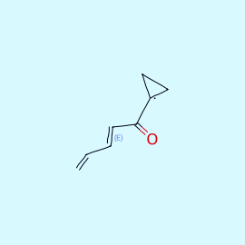 C=C/C=C/C(=O)[C]1CC1